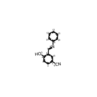 N#Cc1ccc(O)c(/C=N/c2ccccc2)c1